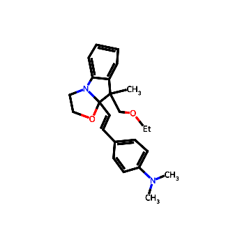 CCOCC1(C)c2ccccc2N2CCOC21C=Cc1ccc(N(C)C)cc1